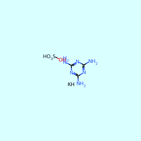 Nc1nc(N)nc(N)n1.O=S(=O)(O)O.[KH]